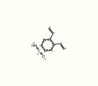 C=Cc1ccccc1C=C.N=C=O